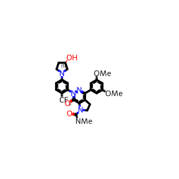 CNC(=O)N1CCc2c(-c3cc(OC)cc(OC)c3)nn(-c3cc(N4CC[C@H](O)C4)ccc3C(F)(F)F)c(=O)c21